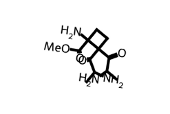 COC(=O)C1(N)CCC1(C(=O)C(C)N)C(=O)C(C)N